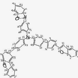 c1ccc2oc(-c3ccc(-c4ccc(N(c5ccc(-c6ccc7oc8ccccc8c7c6)cc5)c5ccc(-c6nc7ccccc7o6)cc5)cc4)cc3)cc2c1